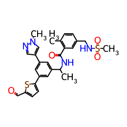 Cc1ccc(CNS(C)(=O)=O)cc1C(=O)NC(C)c1cc(-c2cnn(C)c2)cc(-c2ccc(C=O)s2)c1